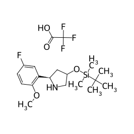 COc1ccc(F)cc1[C@H]1CC(O[Si](C)(C)C(C)(C)C)CN1.O=C(O)C(F)(F)F